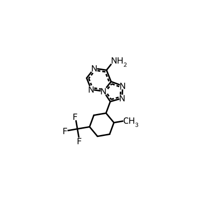 CC1CCC(C(F)(F)F)CC1c1nnc2c(N)ncnn12